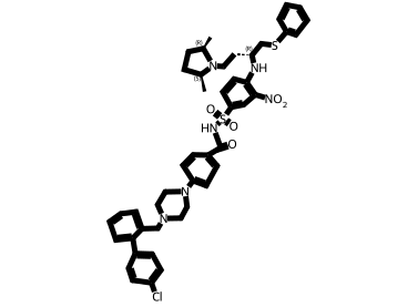 C[C@@H]1CC[C@H](C)N1CC[C@H](CSc1ccccc1)Nc1ccc(S(=O)(=O)NC(=O)c2ccc(N3CCN(Cc4ccccc4-c4ccc(Cl)cc4)CC3)cc2)cc1[N+](=O)[O-]